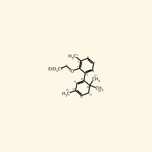 CCOC(=O)COc1c(C)cccc1C1=CC(C)=CCC1(C)C